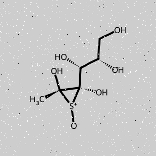 C[C@]1(O)[S+]([O-])[C@]1(O)[C@H](O)[C@@H](O)CO